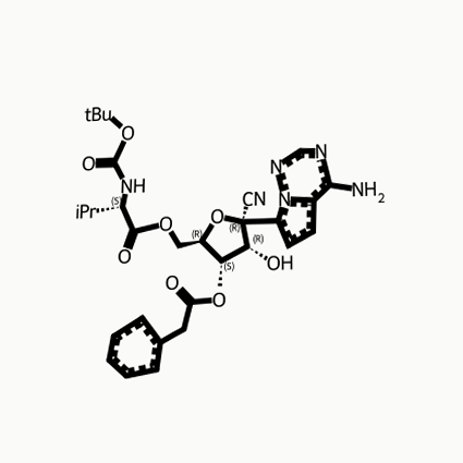 CC(C)[C@H](NC(=O)OC(C)(C)C)C(=O)OC[C@H]1O[C@@](C#N)(c2ccc3c(N)ncnn23)[C@H](O)[C@@H]1OC(=O)Cc1ccccc1